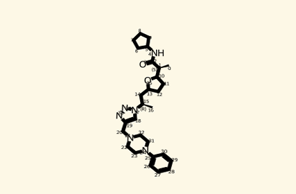 C[C@H](C(=O)NC1CCCC1)C1CCC(C[C@@H](C)n2cc(CN3CCN(c4ccccc4)CC3)nn2)O1